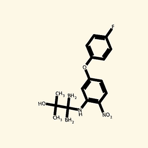 BC(B)(Nc1cc(Oc2ccc(F)cc2)ccc1[N+](=O)[O-])C(C)(C)O